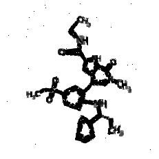 CCNC(=O)c1cc2c(-c3cc(S(=O)(=O)CC)ccc3N[C@H](CC)c3ccccc3)cn(C)c(=O)c2[nH]1